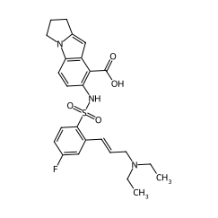 CCN(CC)CC=Cc1cc(F)ccc1S(=O)(=O)Nc1ccc2c(cc3n2CCC3)c1C(=O)O